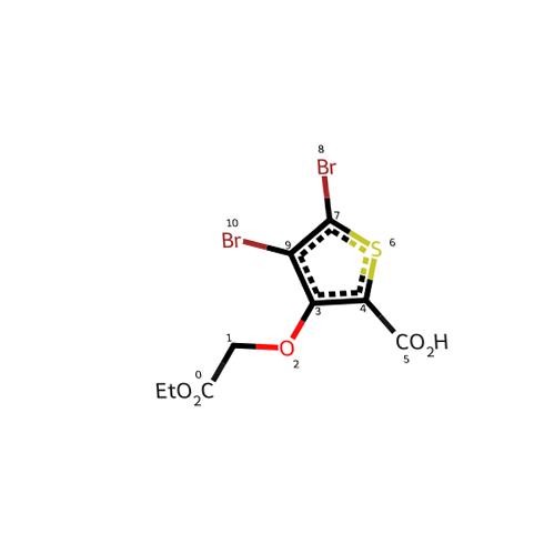 CCOC(=O)COc1c(C(=O)O)sc(Br)c1Br